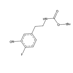 CC(C)(C)OC(=O)NCCc1ccc(F)c(N=O)c1